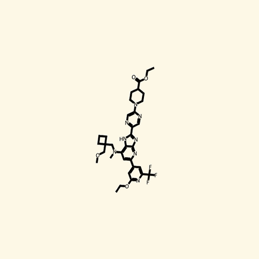 CCOC(=O)C1CCN(c2cnc(-c3nc4nc(-c5cc(OCC)nc(C(F)(F)F)c5)cc(N(C)CC5(COC)CCC5)c4[nH]3)cn2)CC1